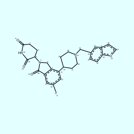 O=C1CCC(N2Cc3c(cc(F)cc3C3CCN(Cc4ccc5occc5c4)CC3)C2=O)C(=O)N1